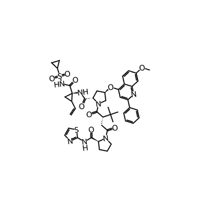 C=CC1C[C@]1(NC(=O)[C@@H]1C[C@@H](Oc2cc(-c3ccccc3)nc3cc(OC)ccc23)CN1C(=O)[C@@H](CC(=O)N1CCC[C@H]1C(=O)Nc1nccs1)C(C)(C)C)C(=O)NS(=O)(=O)C1CC1